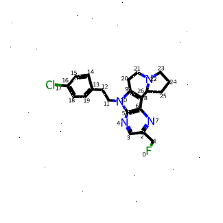 FCc1cnc2c(n1)c1c(n2CCc2ccc(Cl)cc2)CCN2CCCC12